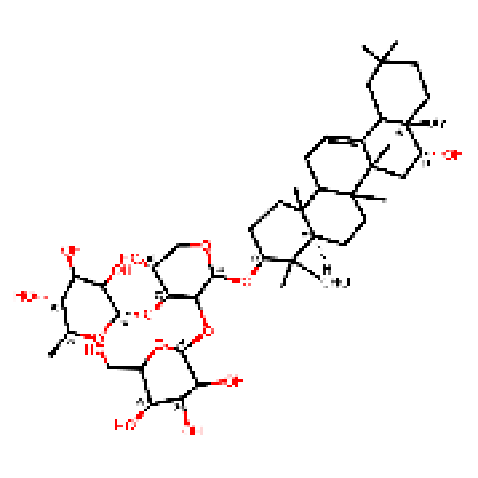 CC(=O)[C@]12CCC(C)(C)CC1C1=CCC3C4(C)CC[C@H](O[C@@H]5OC[C@@H](O)[C@H](O[C@@H]6O[C@@H](C)[C@H](O)C(O)C6O)C5O[C@@H]5OC(CO)[C@H](O)[C@H](O)C5O)C(C)(C=O)[C@@H]4CCC3(C)C1(C)C[C@H]2O